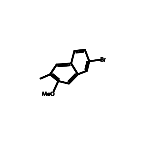 COc1cc2cc(Br)ccc2cc1C